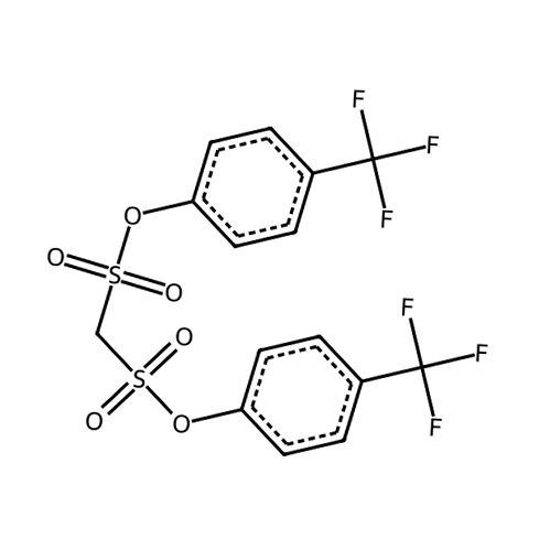 O=S(=O)(CS(=O)(=O)Oc1ccc(C(F)(F)F)cc1)Oc1ccc(C(F)(F)F)cc1